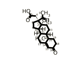 CC(=O)[C@]1(CC(=O)O)CC[C@H]2[C@@H]3CCC4=CC(=O)CC[C@]4(C)[C@H]3CC[C@@]21C